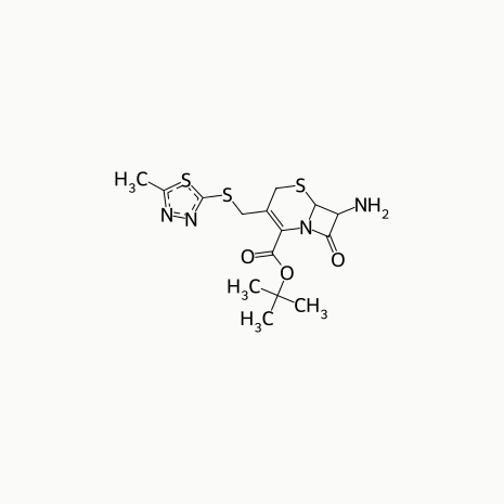 Cc1nnc(SCC2=C(C(=O)OC(C)(C)C)N3C(=O)C(N)C3SC2)s1